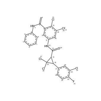 C=C(Nc1ccccc1)c1cc(NC(=O)C2C(c3ccc(F)c(Cl)c3)C2(Cl)Cl)cc(C(F)(F)F)c1Cl